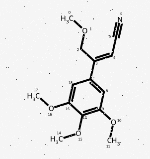 COCC(=CC#N)c1cc(OC)c(OC)c(OC)c1